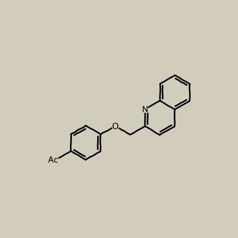 CC(=O)c1ccc(OCc2ccc3ccccc3n2)cc1